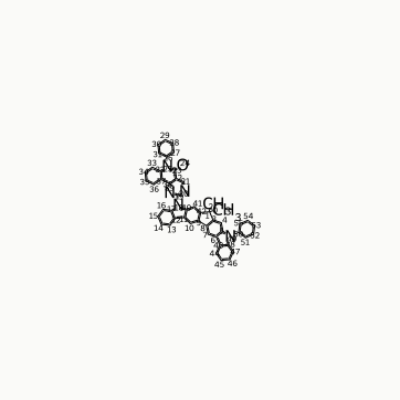 CC1(C)c2cc3c(cc2-c2cc4c5ccccc5n(-c5ncc6c(=O)n(-c7ccccc7)c7ccccc7c6n5)c4cc21)c1ccccc1n3-c1ccccc1